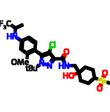 COc1cc(NC(C)C(F)(F)F)ccc1-c1c(Cl)c(C(=O)NCC2(O)CCC(S(C)(=O)=O)CC2)nn1C(C)(C)C